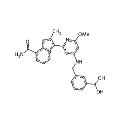 COc1cc(NCc2cccc(B(O)O)c2)nc(-c2c(C)cc3c(C(N)=O)cccn23)n1